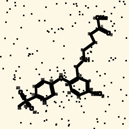 COC(=O)CCCNCc1cc([N+](=O)[O-])ccc1Oc1ccc(S(C)(=O)=O)nc1